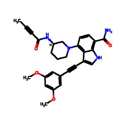 CC#CC(=O)N[C@@H]1CCCN(c2ccc(C(N)=O)c3[nH]cc(C#Cc4cc(OC)cc(OC)c4)c23)C1